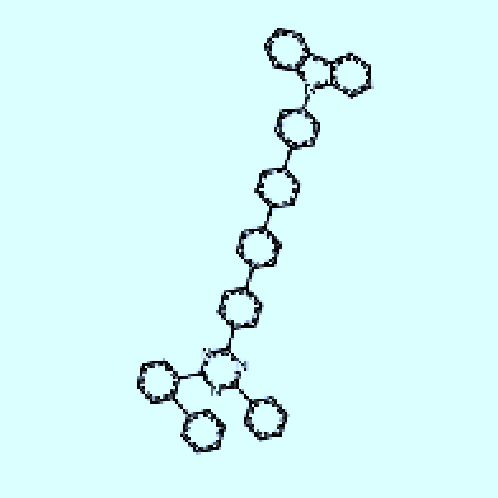 c1ccc(-c2nc(-c3ccc(-c4ccc(-c5ccc(-c6ccc(-n7c8ccccc8c8ccccc87)cc6)cc5)cc4)cc3)nc(-c3ccccc3-c3ccccc3)n2)cc1